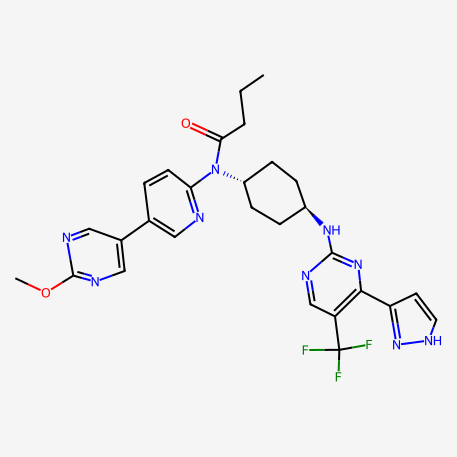 CCCC(=O)N(c1ccc(-c2cnc(OC)nc2)cn1)[C@H]1CC[C@H](Nc2ncc(C(F)(F)F)c(-c3cc[nH]n3)n2)CC1